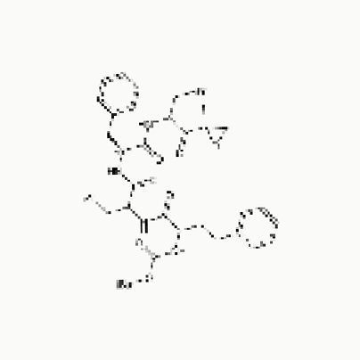 CC(C)CC(NC(=O)C(CCc1ccccc1)NC(=O)OC(C)(C)C)C(=O)N[C@@H](Cc1ccccc1)C(=O)NC(CC(C)C)C(=O)C1(C)CO1